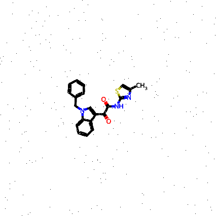 Cc1csc(NC(=O)C(=O)c2cn(Cc3ccccc3)c3ccccc23)n1